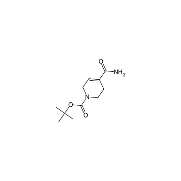 CC(C)(C)OC(=O)N1CC=C(C(N)=O)CC1